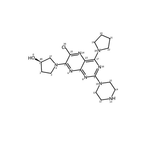 O[C@@H]1CCN(c2nc3nc(N4CCNCC4)nc(N4CCCC4)c3nc2Cl)C1